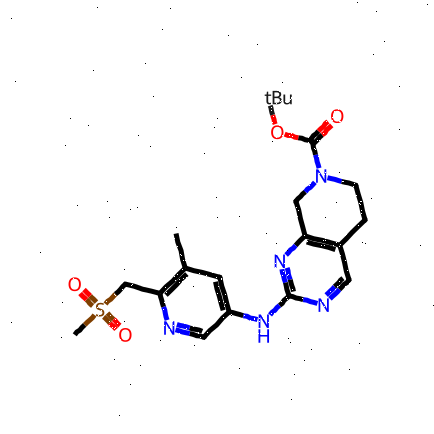 Cc1cc(Nc2ncc3c(n2)CN(C(=O)OC(C)(C)C)CC3)cnc1CS(C)(=O)=O